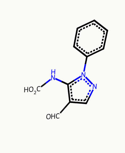 O=Cc1cnn(-c2ccccc2)c1NC(=O)O